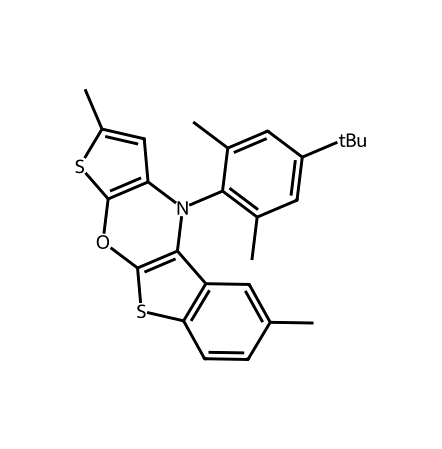 Cc1ccc2sc3c(c2c1)N(c1c(C)cc(C(C)(C)C)cc1C)c1cc(C)sc1O3